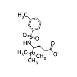 Cc1cccc(S(=O)(=O)N[C@@H](CCC(=O)[O-])[P+](C)(C)C)c1